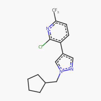 FC(F)(F)c1ccc(-c2cnn(CC3CCCC3)c2)c(Cl)n1